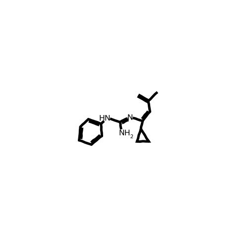 C=C(C)/C=C(\N=C(/N)Nc1ccccc1)C1CC1